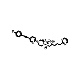 O=C(O)NC(CCCc1ncccn1)CS(=O)(=O)N1CCN(c2ccc(C#Cc3ccc(F)cc3)cn2)CC1